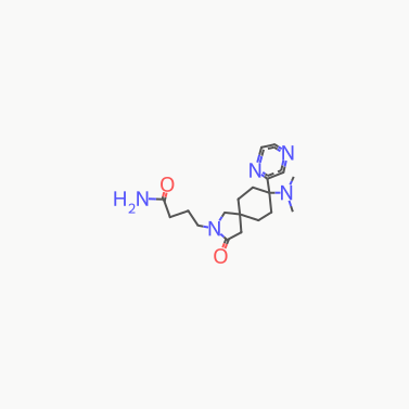 CN(C)C1(c2cnccn2)CCC2(CC1)CC(=O)N(CCCC(N)=O)C2